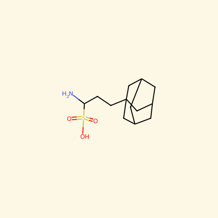 NC(CCC12CC3CC(CC(C3)C1)C2)S(=O)(=O)O